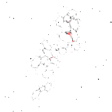 Cc1cc(-c2ccc(N(c3ccc(-c4cccc5c4oc4ccccc45)cc3)c3c(C)cccc3-c3ccc4ccccc4c3)c(C)c2)ccc1N(c1ccc(-c2cccc3c2oc2ccccc23)cc1)c1c(C)cccc1-c1ccc2ccccc2c1